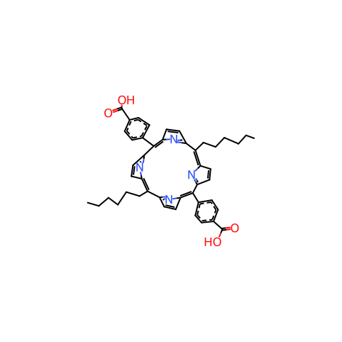 CCCCCCC1=C2C=CC(=N2)C(c2ccc(C(=O)O)cc2)=C2C=CC(=N2)C(CCCCCC)=C2C=CC(=N2)C(c2ccc(C(=O)O)cc2)=C2C=CC1=N2